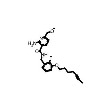 CC#CCCCCOc1cccc(CNC(=O)c2ccc(COC)nc2N)c1F